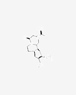 COc1cc2c(cc1N)C1CN(C(C)=O)CC(=O)N1CC2